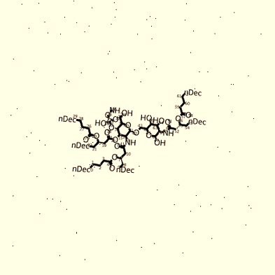 CCCCCCCCCCCCCC(=O)O[C@H](CCCCCCCCCCC)CC(=O)NC1C(OC(=O)C[C@@H](CCCCCCCCCCC)OC(=O)CCCCCCCCCCCCC)[C@H](OP(=O)(O)ON)C(CO)O[C@H]1OCC1O[C@H](O)C(NC(=O)C[C@@H](CCCCCCCCCCC)OC(=O)CCCCCCCCCCCCC)C(O)[C@@H]1O